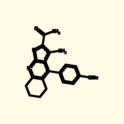 COc1ccc(-c2c3c(nc4sc(C(N)=O)c(N)c24)CCCC3)cc1